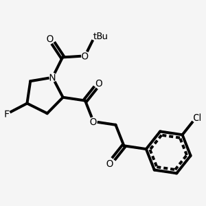 CC(C)(C)OC(=O)N1CC(F)CC1C(=O)OCC(=O)c1cccc(Cl)c1